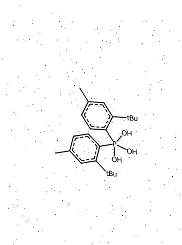 Cc1ccc(P(O)(O)(O)c2ccc(C)cc2C(C)(C)C)c(C(C)(C)C)c1